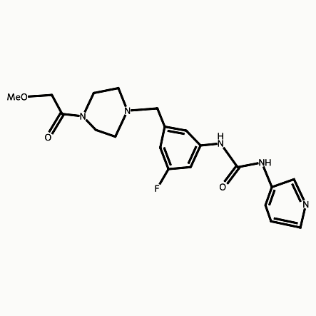 COCC(=O)N1CCN(Cc2cc(F)cc(NC(=O)Nc3cccnc3)c2)CC1